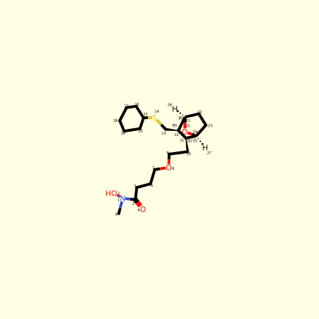 CN(O)C(=O)CCCOCC[C@H]1[C@@H](CSC2CCCCC2)[C@H]2CC[C@@H]1O2